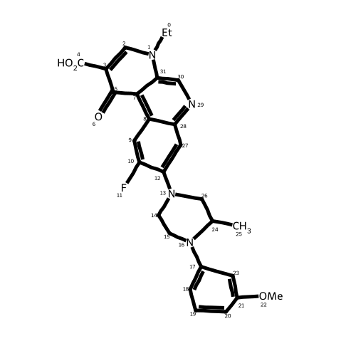 CCn1cc(C(=O)O)c(=O)c2c3cc(F)c(N4CCN(c5cccc(OC)c5)C(C)C4)cc3ncc21